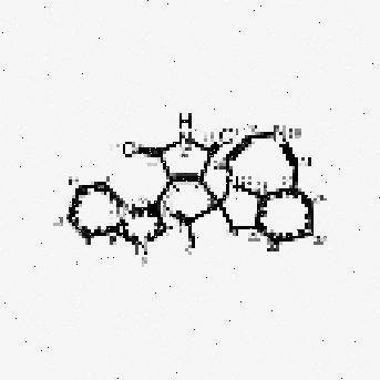 CC(=N)C1(C2=C(c3cnc4ccccn34)C(=O)NC2=O)Cc2cccc3c2N1C=CN=C3